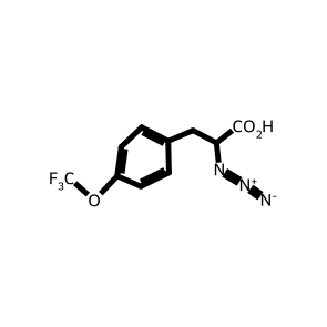 [N-]=[N+]=NC(Cc1ccc(OC(F)(F)F)cc1)C(=O)O